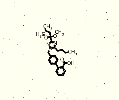 CCCCc1nc(C(CCC)(OC)OC)nn1Cc1ccc(-c2ccccc2C(=O)O)cc1